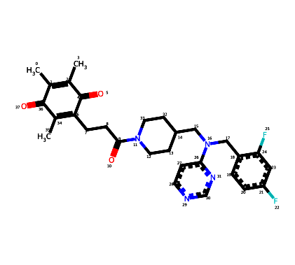 CC1=C(C)C(=O)C(CCC(=O)N2CCC(CN(Cc3ccc(F)cc3F)c3ccncn3)CC2)=C(C)C1=O